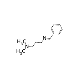 CN(C)CCC/N=C/c1ccccc1